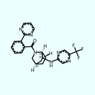 O=C(c1ccccc1-c1ncccn1)N1C[C@@H]2CC[C@H]1[C@H](Nc1cnc(C(F)(F)F)cn1)C2